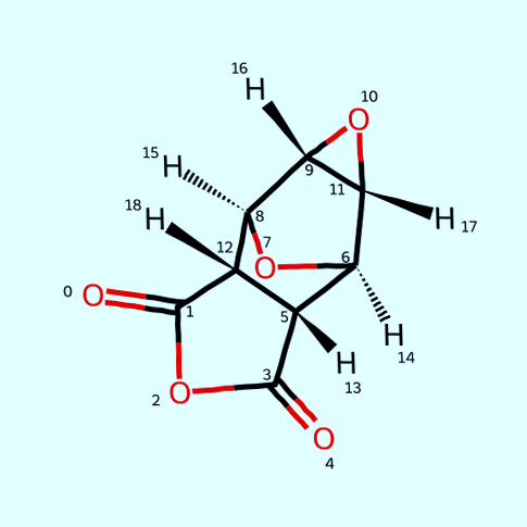 O=C1OC(=O)[C@H]2[C@H]3O[C@H]([C@@H]4O[C@@H]43)[C@@H]12